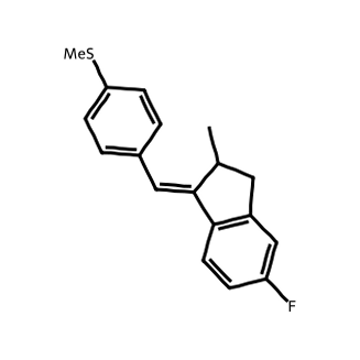 CSc1ccc(C=C2c3ccc(F)cc3CC2C)cc1